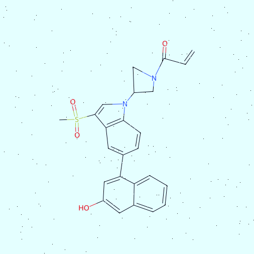 C=CC(=O)N1CC(n2cc(S(C)(=O)=O)c3cc(-c4cc(O)cc5ccccc45)ccc32)C1